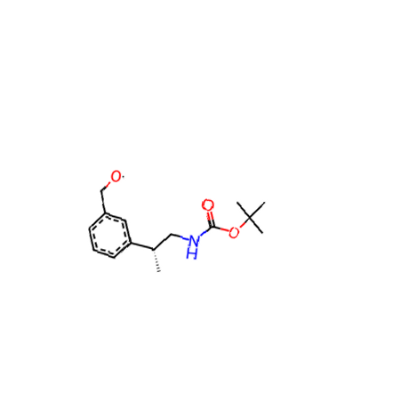 C[C@@H](CNC(=O)OC(C)(C)C)c1cccc(C[O])c1